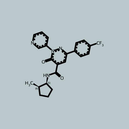 C[C@@H]1CCC[C@@H]1NC(=O)c1cc(-c2ccc(C(F)(F)F)cc2)nn(-c2cccnc2)c1=O